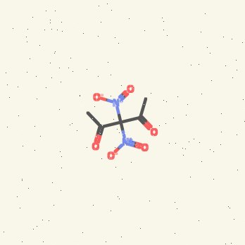 CC(=O)C(C(C)=O)([N+](=O)[O-])[N+](=O)[O-]